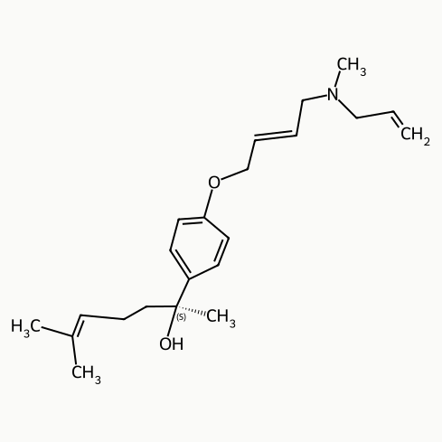 C=CCN(C)CC=CCOc1ccc([C@@](C)(O)CCC=C(C)C)cc1